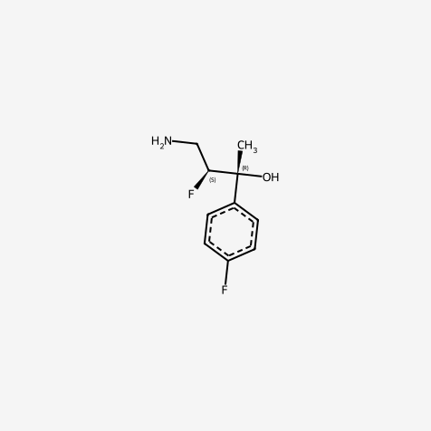 C[C@@](O)(c1ccc(F)cc1)[C@@H](F)CN